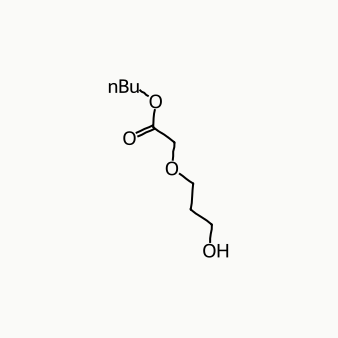 CCCCOC(=O)COCCCO